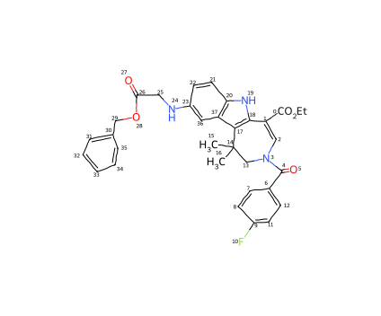 CCOC(=O)C1=CN(C(=O)c2ccc(F)cc2)CC(C)(C)c2c1[nH]c1ccc(NCC(=O)OCc3ccccc3)cc21